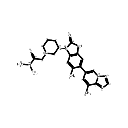 Cc1cc2c(cc1-c1cc(C)c3ncnn3c1)[nH]c(=O)n2[C@@H]1CCCN(CC(=O)N(C)C)C1